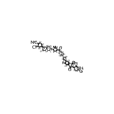 C[C@H]1CC2(CCN(c3ccc(C(=O)N4CCN(C5CN(c6cc7c(cc6F)C(=O)N(C6CCC(=O)NC6=O)C7=O)C5)CC4)nn3)CC2)CN1c1ccc(C#N)c(Cl)c1